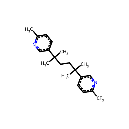 Cc1ccc(C(C)(C)CCC(C)(C)c2ccc(C(F)(F)F)nc2)cn1